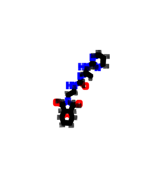 C/C(=N\C(=O)NCCN1C(=O)C2C3C=CC(O3)C2C1=O)Nc1ncccn1